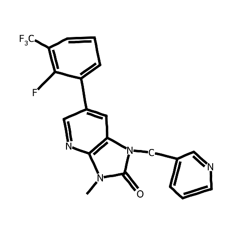 Cn1c(=O)n(Cc2cccnc2)c2cc(-c3cccc(C(F)(F)F)c3F)cnc21